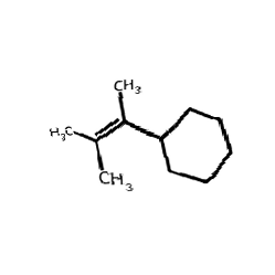 CC(C)=C(C)C1CCCCC1